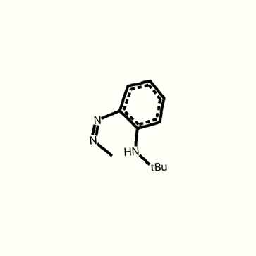 C/N=N\c1ccccc1NC(C)(C)C